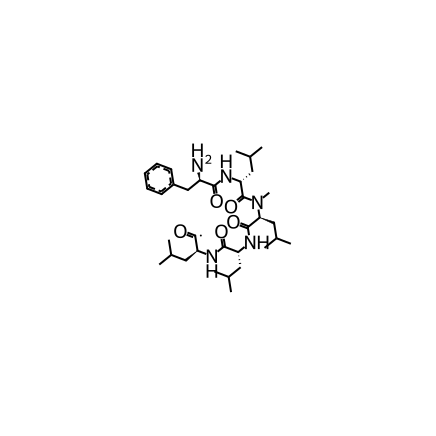 CC(C)C[C@@H]([C]=O)NC(=O)[C@@H](CC(C)C)NC(=O)[C@H](CC(C)C)N(C)C(=O)[C@@H](CC(C)C)NC(=O)[C@H](N)Cc1ccccc1